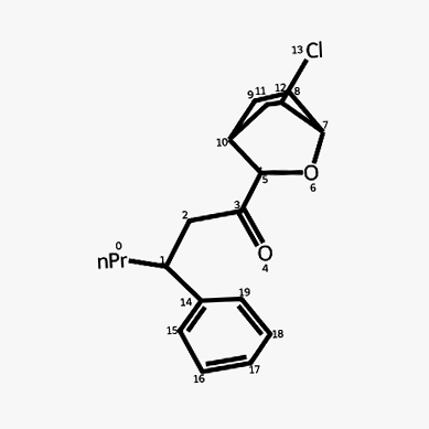 [CH2]CCC(CC(=O)[C]1OC2CCC1CC2Cl)c1ccccc1